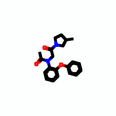 CC(=O)N(CC(=O)N1CCC(C)C1)c1ccccc1Oc1ccccc1